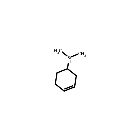 C[SiH](C)C1CC=CCC1